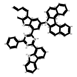 C=C/C=C\c1c(C)sc2c(-c3nc(-c4ccccc4)nc(-c4cccc5c4oc4ccccc45)n3)cc(-n3c4ccc5ccccc5c4c4c5ccccc5ccc43)cc12